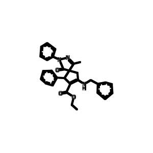 CCOC(=O)C1=C(NCc2ccccc2)CC2(C(=O)N(c3ccccc3)N=C2C)C1c1ccccc1